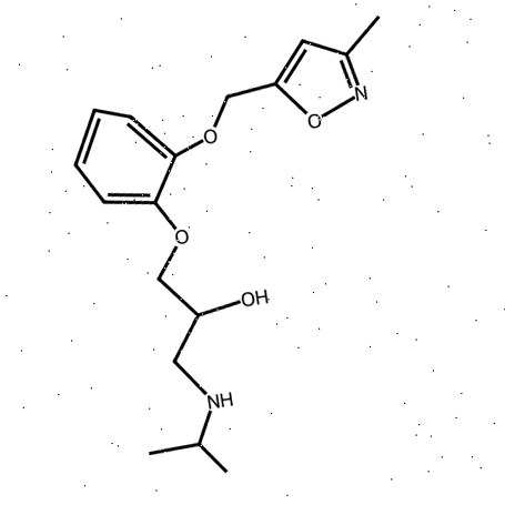 Cc1cc(COc2ccccc2OCC(O)CNC(C)C)on1